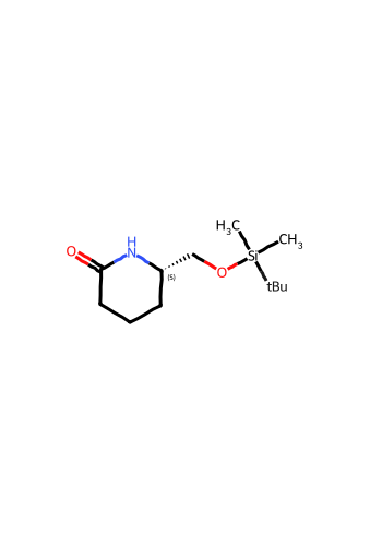 CC(C)(C)[Si](C)(C)OC[C@@H]1CCCC(=O)N1